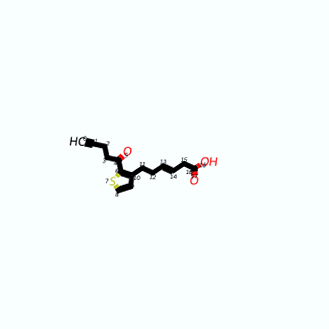 C#CCCC(=O)c1sccc1CCC=CCC(=O)O